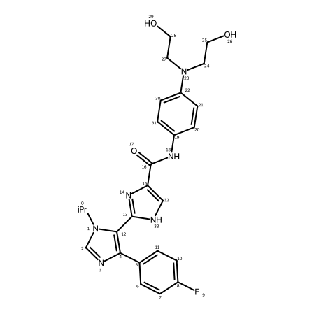 CC(C)n1cnc(-c2ccc(F)cc2)c1-c1nc(C(=O)Nc2ccc(N(CCO)CCO)cc2)c[nH]1